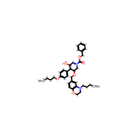 COCCCN1CCOc2ccc(COC3CN(C(=O)OCc4ccccc4)CC(O)C3c3ccc(OCCCSC)cc3)cc21